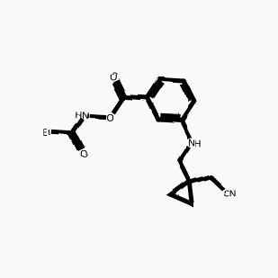 CCC(=O)NOC(=O)c1cccc(NCC2(CC#N)CC2)c1